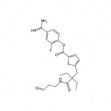 CCC(CC)(Cc1ccc(C(=O)Oc2ccc(C(=N)N)cc2F)s1)C(=O)NCCC=O